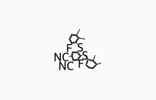 Cc1cccc(Sc2c(F)c(C#N)c(C#N)c(F)c2Sc2cccc(C)c2C)c1C